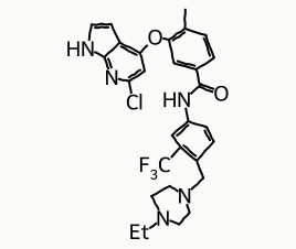 CCN1CCN(Cc2ccc(NC(=O)c3ccc(C)c(Oc4cc(Cl)nc5[nH]ccc45)c3)cc2C(F)(F)F)CC1